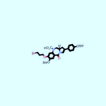 COc1ccc(C2=CN3C(=O)c4cc(OC)c(OCCCBr)cc4N(C(=O)O)C[C@@H]3C2)cc1